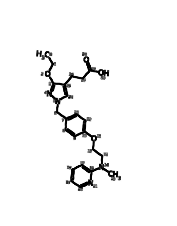 CCOc1nn(Cc2ccc(OCCN(C)c3ccccn3)cc2)cc1CCC(=O)O